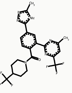 Cc1cc(C(F)(F)F)nc(-c2cc(-c3nnc(C)[nH]3)ccc2C(=O)N2CCC(C(F)(F)F)CC2)n1